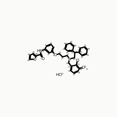 Cl.O=C(Nc1cccc(OCCCN(Cc2cccc(C(F)(F)F)c2Cl)CC(c2ccccc2)c2ccccc2)c1)c1ccco1